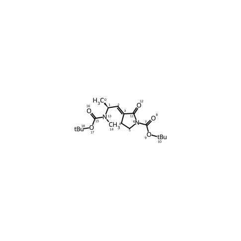 C[C@@H](/C=C1\CCN(C(=O)OC(C)(C)C)C1=O)N(C)C(=O)OC(C)(C)C